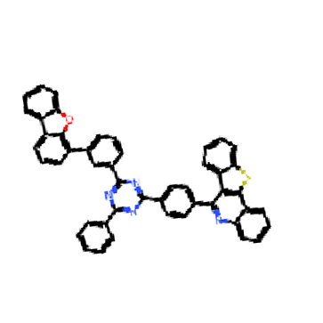 c1ccc(-c2nc(-c3ccc(-c4nc5ccccc5c5sc6ccccc6c45)cc3)nc(-c3cccc(-c4cccc5c4oc4ccccc45)c3)n2)cc1